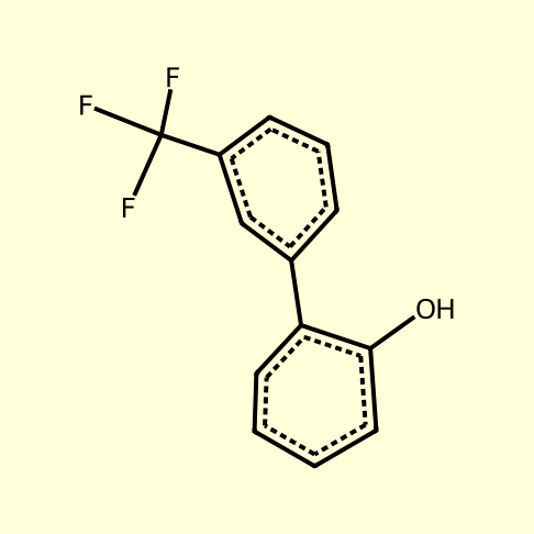 Oc1ccccc1-c1cccc(C(F)(F)F)c1